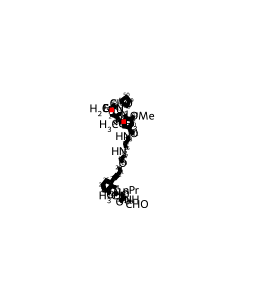 C=N/C=C(\C(=N/c1ccc(C(=O)NCCCNCCOCCC#Cc2cccc(C=O)c2CN(C)C(CCC)C(=O)NC=O)cc1OC)N(C(C=O)CC)C1CCCC1)N(C)C